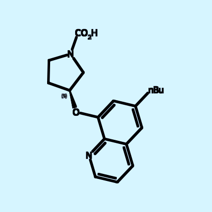 CCCCc1cc(O[C@H]2CCN(C(=O)O)C2)c2ncccc2c1